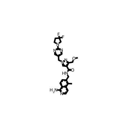 COCc1nn(Cc2cnc(N3CCC(F)(F)C3)nc2)cc1C(=O)NCc1ccc2c(N)nccc2c1C